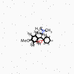 [2H]c1c([2H])c([C@H](C2(O)CCCCC2)C([2H])([2H])N(C)C)c([2H])c([2H])c1OC